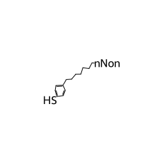 CCCCCCCCCCCCCCCCc1ccc(S)cc1